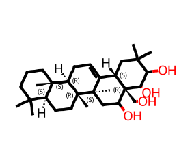 CC1(C)C[C@H]2C3=CC[C@@H]4[C@@]5(C)CCCC(C)(C)[C@@H]5CC[C@@]4(C)[C@]3(C)CC(O)[C@@]2(CO)C(O)C1O